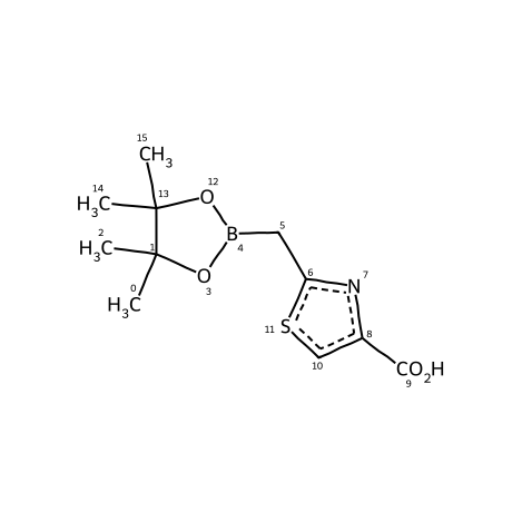 CC1(C)OB(Cc2nc(C(=O)O)cs2)OC1(C)C